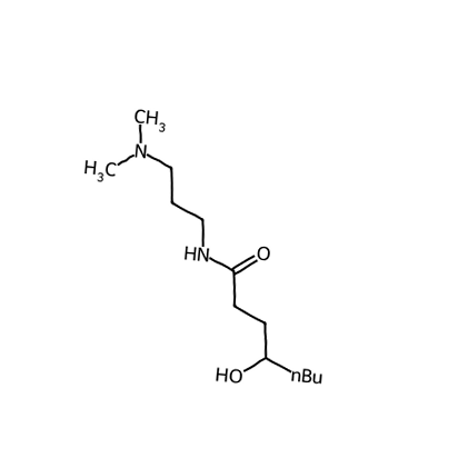 CCCCC(O)CCC(=O)NCCCN(C)C